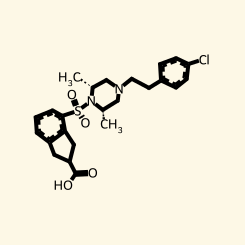 C[C@@H]1CN(CCc2ccc(Cl)cc2)C[C@H](C)N1S(=O)(=O)c1cccc2c1CC(C(=O)O)C2